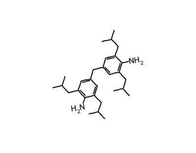 CC(C)Cc1cc(Cc2cc(CC(C)C)c(N)c(CC(C)C)c2)cc(CC(C)C)c1N